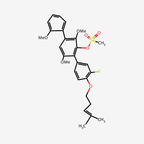 COc1ccccc1-c1cc(OC)c(-c2ccc(OCCC=C(C)C)c(F)c2)c(OS(C)(=O)=O)c1OC